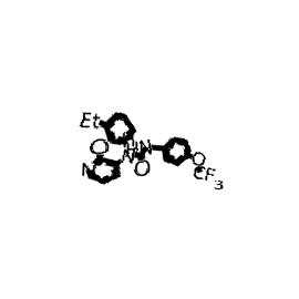 CCc1ccccc1Oc1ncccc1NC(=O)Nc1ccc(OC(F)(F)F)cc1